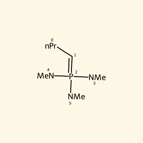 CCCC=P(NC)(NC)NC